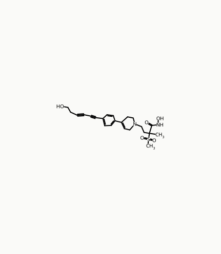 CC(CCN1CC=C(c2ccc(C#CC#CCCO)cc2)CC1)(C(=O)NO)S(C)(=O)=O